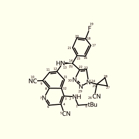 CC(C)(C)CNc1c(C#N)cnc2c(C#N)cc(N[C@@H](c3ccc(F)cc3)c3cn(C4(C#N)CC4)nn3)cc12